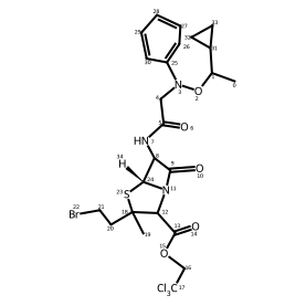 CC(ON(CC(=O)NC1C(=O)N2C(C(=O)OCC(Cl)(Cl)Cl)C(C)(CCBr)S[C@H]12)c1ccccc1)C1CC1